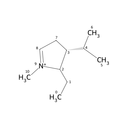 CCC1[C@@H](C(C)C)CC=[N+]1C